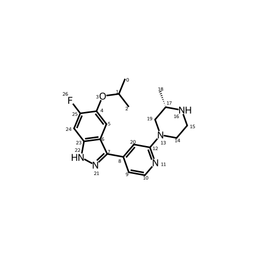 CC(C)Oc1cc2c(-c3ccnc(N4CCN[C@@H](C)C4)c3)n[nH]c2cc1F